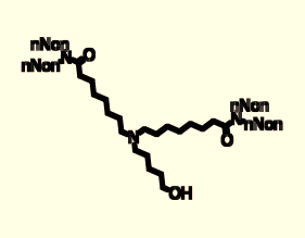 CCCCCCCCCN(CCCCCCCCC)C(=O)CCCCCCCN(CCCCCO)CCCCCCCC(=O)N(CCCCCCCCC)CCCCCCCCC